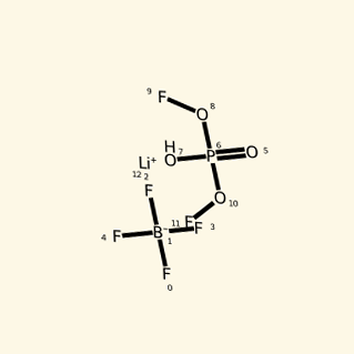 F[B-](F)(F)F.O=P(O)(OF)OF.[Li+]